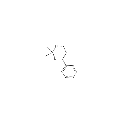 CC1(C)OCCC(c2ccccc2)O1